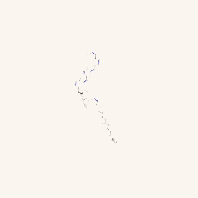 CC/C=C\C/C=C\C/C=C\C/C=C\C/C=C\C/C=C\CCC(=O)OC(CO)CO/C=C\CCCCCCCCCCCCCC